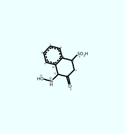 O=C1CC(S(=O)(=O)O)c2ccccc2C1NO